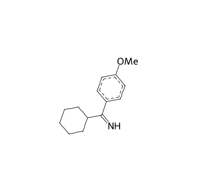 COc1ccc(C(=N)C2CCCCC2)cc1